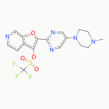 CN1CCN(c2cnc(-c3oc4cnccc4c3OS(=O)(=O)C(F)(F)F)nc2)CC1